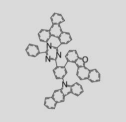 c1ccc(-c2nc(-c3ccc(-n4c5ccccc5c5cc6ccccc6cc54)cc3-c3cccc4oc5c6ccccc6ccc5c34)nc(-c3cccc4c5ccccc5c5ccccc5c34)n2)cc1